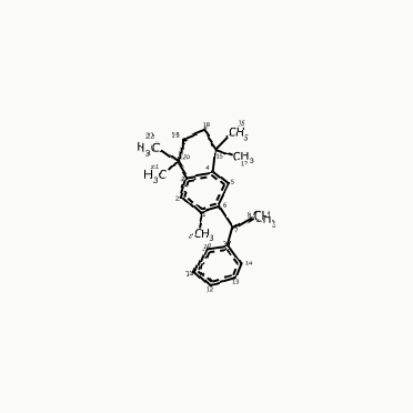 Cc1cc2c(cc1C(C)c1[c]cccc1)C(C)(C)CCC2(C)C